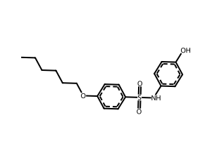 CCCCCCOc1ccc(S(=O)(=O)Nc2ccc(O)cc2)cc1